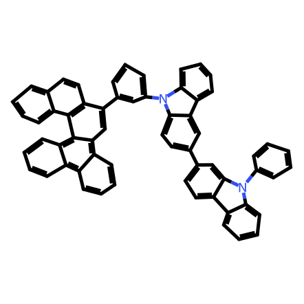 c1ccc(-n2c3ccccc3c3ccc(-c4ccc5c(c4)c4ccccc4n5-c4cccc(-c5cc6c7ccccc7c7ccccc7c6c6c5ccc5ccccc56)c4)cc32)cc1